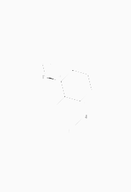 CN[C@H]1CCC[C@H](NC)C1O